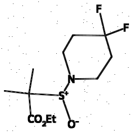 CCOC(=O)C(C)(C)[S+]([O-])N1CCC(F)(F)CC1